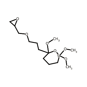 COC1(CCCOCC2CO2)CCC[Si](OC)(OC)O1